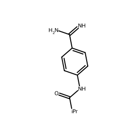 CC(C)C(=O)Nc1ccc(C(=N)N)cc1